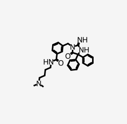 CN(C)CCCCNC(=O)c1cccc(CN2C(=N)NC(c3ccccc3)(c3ccccc3)C2=O)c1